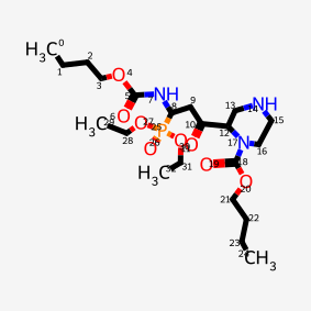 CCCCOC(=O)NC(CC(=O)C1CNCCN1C(=O)OCCCC)P(=O)(OCC)OCC